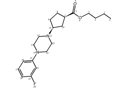 CCCCOC(=O)[C@@H]1CC[C@H](N2CCN(c3cccc(F)c3)CC2)C1